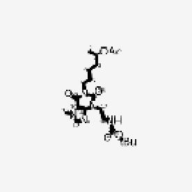 CC(=O)O[C@H](C)CCCCn1c(=O)c2c(ncn2C)n(CCNC(=O)OC(C)(C)C)c1=O